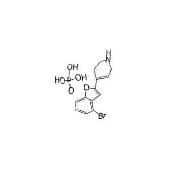 Brc1cccc2oc(C3=CCNCC3)cc12.O=P(O)(O)O